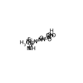 C[C@@H]1Cc2c(ccc3[nH]ncc23)[C@@H](c2c(F)cc(N3CCC4(CCN(C(=O)CN5Cc6cc7c(cc6C5)C(=O)N(C5CCC(=O)NC5=O)C7=O)CC4)CC3)cc2F)N1CC(F)F